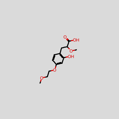 COCCOc1ccc(CC(OC)C(=O)O)c(O)c1